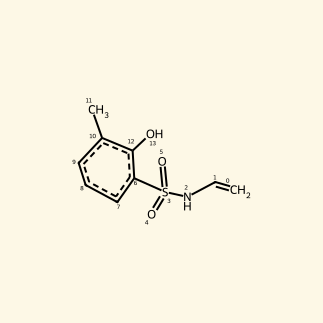 C=CNS(=O)(=O)c1cccc(C)c1O